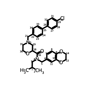 CC(C)CN(Cc1ccc2c(c1)OCCO2)C(=O)C1CN(Cc2ccc(-c3ccc(Cl)cc3)cc2)CCO1